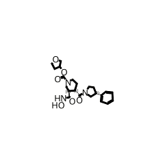 O=C(NO)[C@H]1CN(C(=O)OC2CCOC2)CC[C@@H]1C(=O)N1CC[C@H](c2ccccc2)C1